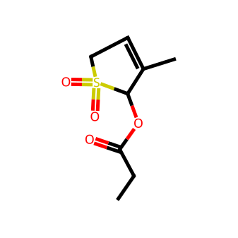 CCC(=O)OC1C(C)=CCS1(=O)=O